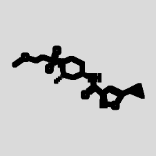 COCCS(=O)(=O)N1CC[C@@H](NC(=O)c2cc(C3CC3)on2)C[C@@H]1C